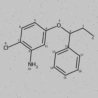 CCC(Oc1ccc(Cl)c(N)c1)c1ccccc1